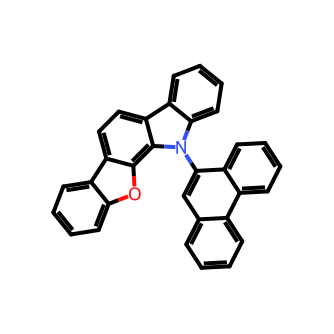 c1ccc2c(c1)cc(-n1c3ccccc3c3ccc4c5ccccc5oc4c31)c1ccccc12